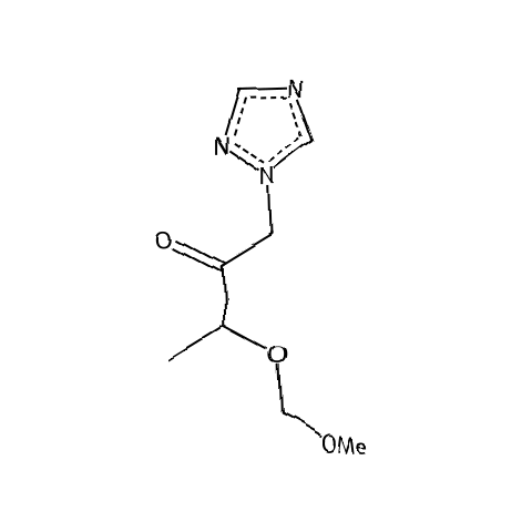 COCOC(C)C(=O)Cn1cncn1